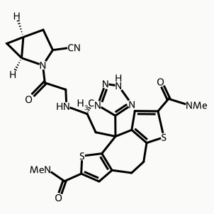 CNC(=O)c1cc2c(s1)CCc1cc(C(=O)NC)sc1C2(C[C@@H](C)NCC(=O)N1C(C#N)C[C@@H]2C[C@@H]21)c1nn[nH]n1